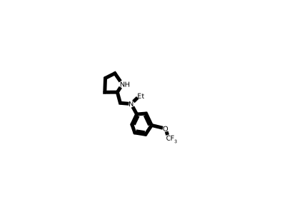 CCN(CC1CCCN1)c1cccc(OC(F)(F)F)c1